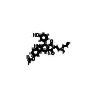 C=CCN(C)CCN1C(=O)N2[C@H](c3cccc(O)c3)c3[nH]c4ccc(OC(F)F)cc4c3C[C@@]2(C)C1=O